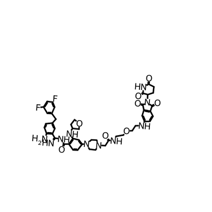 N=C(NC(=O)c1ccc(N2CCN(CC(=O)NCCOCCNc3ccc4c(c3)C(=O)N(C3CCC(=O)NC3=O)C4=O)CC2)cc1NC1CCOC1)c1cc(Cc2cc(F)cc(F)c2)ccc1N